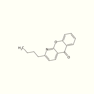 CCCCc1ccc2c(=O)c3ccccc3oc2n1